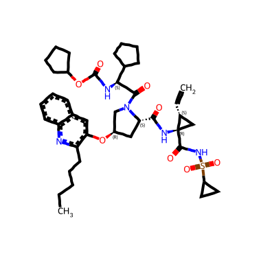 C=C[C@@H]1C[C@]1(NC(=O)[C@@H]1C[C@@H](Oc2cc3ccccc3nc2CCCCC)CN1C(=O)[C@@H](NC(=O)OC1CCCC1)C1CCCC1)C(=O)NS(=O)(=O)C1CC1